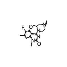 Cc1cc2c3c(nc(=O)n2I)N2CCN(I)CC2COc3c1F